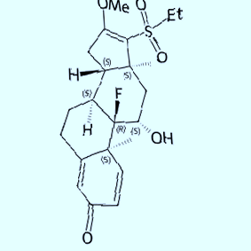 CCS(=O)(=O)C1=C(OC)C[C@H]2[C@@H]3CCC4=CC(=O)C=C[C@]4(C)[C@@]3(F)[C@@H](O)C[C@]12C